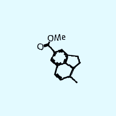 COC(=O)c1cc2c3c(c1)CCC3C(C)C=C2